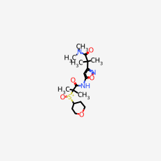 CN(C)C(=O)C(C)(C)c1cc(NC(=O)C(C)(C)[S+]([O-])C2CCOCC2)on1